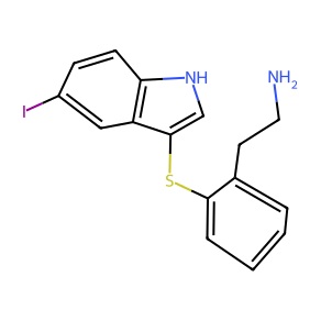 NCCc1ccccc1Sc1c[nH]c2ccc(I)cc12